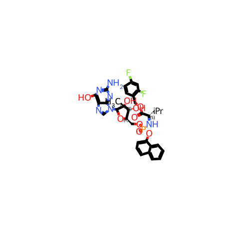 CC(C)[C@H](NP(=O)(OC[C@H]1OC(n2cnc3c(O)nc(N)nc32)[C@](C)(O)[C@@H]1O)Oc1cccc2ccccc12)C(=O)OCc1ccc(F)cc1F